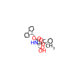 CC(C)(OC(=O)[C@H](CC(=O)O)NC(=O)OCC1c2ccccc2-c2ccccc21)c1ccccc1